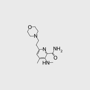 CNc1c(C)cc(CCN2CCOCC2)nc1C(N)=O